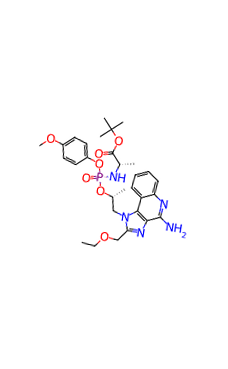 CCOCc1nc2c(N)nc3ccccc3c2n1C[C@@H](C)O[P@](=O)(N[C@@H](C)C(=O)OC(C)(C)C)Oc1ccc(OC)cc1